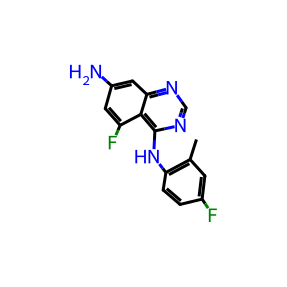 Cc1cc(F)ccc1Nc1ncnc2cc(N)cc(F)c12